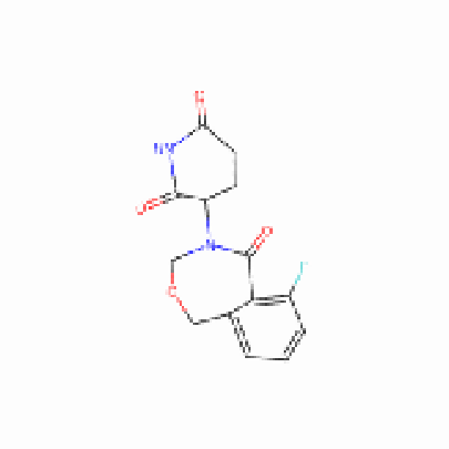 O=C1CCC(N2COCc3cccc(F)c3C2=O)C(=O)N1